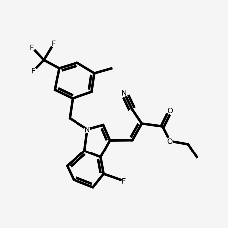 CCOC(=O)/C(C#N)=C/c1cn(Cc2cc(C)cc(C(F)(F)F)c2)c2cccc(F)c12